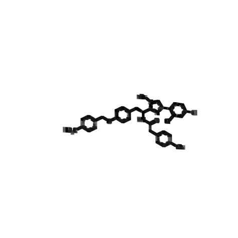 CCCCn1cc(-c2ccc(Cl)cc2Cl)nc1[C@H](Cc1ccc(OCc2ccc(C(=O)O)cc2)cc1)NC(=O)Cc1ccc(C(C)(C)C)cc1